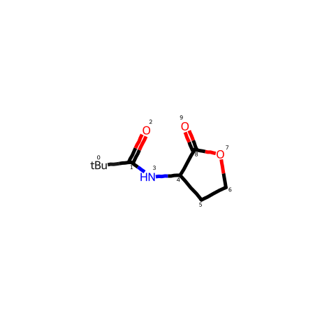 CC(C)(C)C(=O)NC1CCOC1=O